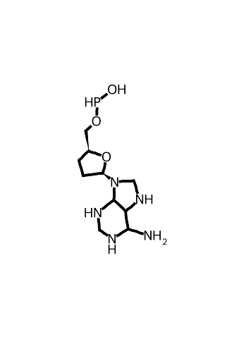 NC1NCNC2C1NCN2[C@H]1CC[C@@H](COPO)O1